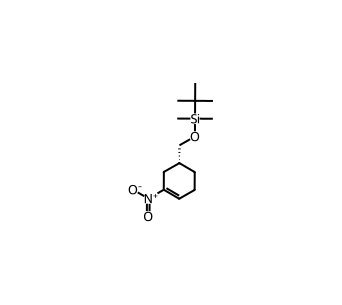 CC(C)(C)[Si](C)(C)OC[C@@H]1CCC=C([N+](=O)[O-])C1